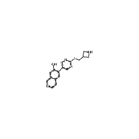 Oc1cc2cnccc2cc1-c1cnc(SCC2CNC2)nn1